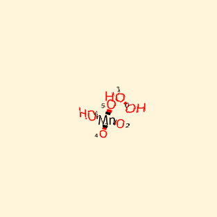 OO.[O]=[Mn](=[O])(=[O])[OH]